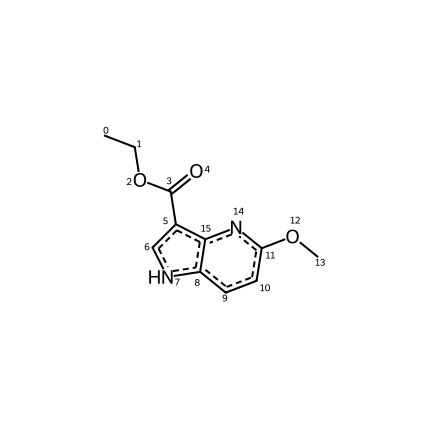 CCOC(=O)c1c[nH]c2ccc(OC)nc12